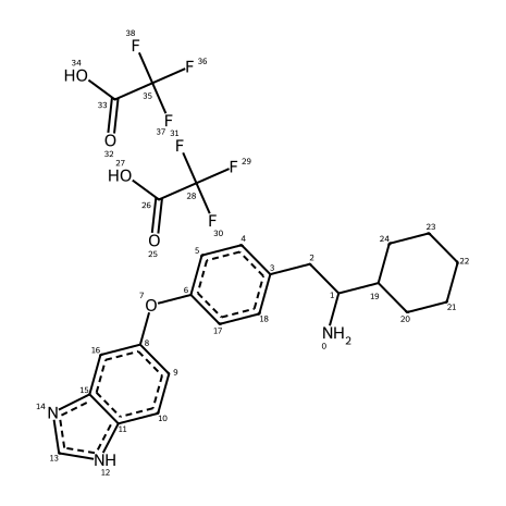 NC(Cc1ccc(Oc2ccc3[nH]cnc3c2)cc1)C1CCCCC1.O=C(O)C(F)(F)F.O=C(O)C(F)(F)F